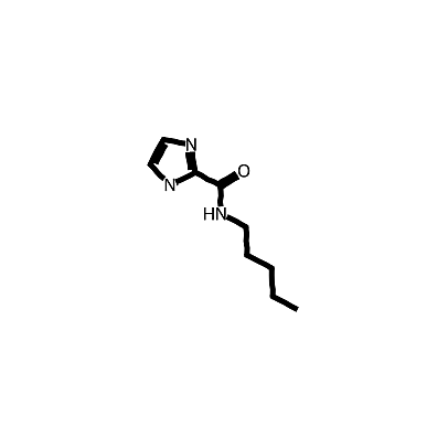 CCCCCNC(=O)C1=NC=C[N]1